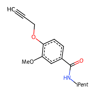 C#CCOc1ccc(C(=O)NC(C)CCC)cc1OC